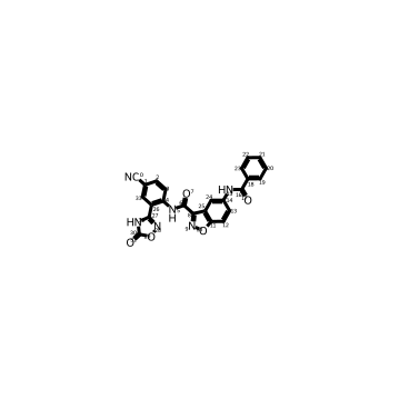 N#Cc1ccc(NC(=O)c2noc3ccc(NC(=O)c4ccccc4)cc23)c(-c2noc(=O)[nH]2)c1